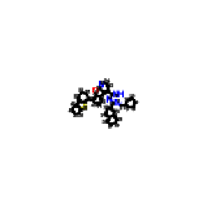 N=C(/N=C(\N=C\c1ccccc1)c1ccc2ccccc2c1)c1ccnc2oc3c(-c4cccc5c4sc4ccccc45)cccc3c12